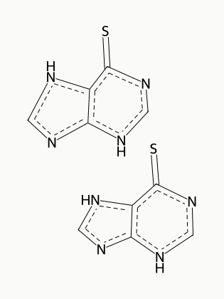 S=c1nc[nH]c2nc[nH]c12.S=c1nc[nH]c2nc[nH]c12